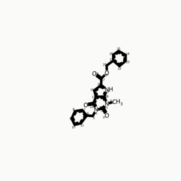 Cn1c(=O)n(Cc2ccccc2)c(=O)c2cc(C(=O)OCc3ccccc3)[nH]c21